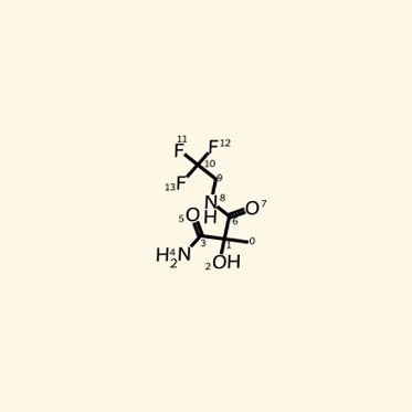 CC(O)(C(N)=O)C(=O)NCC(F)(F)F